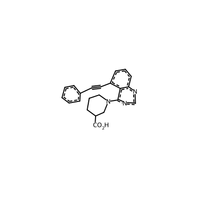 O=C(O)C1CCCN(c2ncnc3cccc(C#Cc4ccccc4)c23)C1